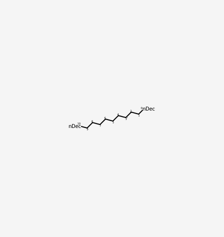 CCCCCCCCCCCC[CH]CCCCCCCCCCCCCCCC